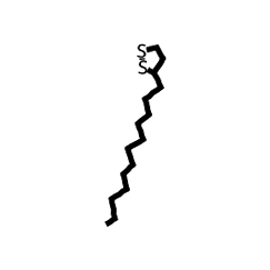 CCCCCCCCCCCCC1CCSS1